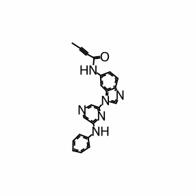 CC#CC(=O)Nc1ccc2ncn(-c3cncc(Nc4ccccc4)n3)c2c1